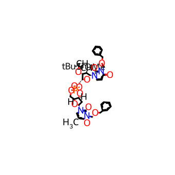 CO[C@@H]1[C@H](O[Si](C)(C)C(C)(C)C)[C@@H](CO[P@]2(=O)OC[C@H]3O[C@@H](n4cc(C)c(=O)n(COCc5ccccc5)c4=O)C[C@@H]3O2)O[C@H]1n1ccc(=O)n(COCc2ccccc2)c1=O